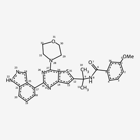 COc1cccc(C(=O)NC(C)(C)c2cc3nc(-c4cccc5[nH]ncc45)nc(N4CCOCC4)c3s2)c1